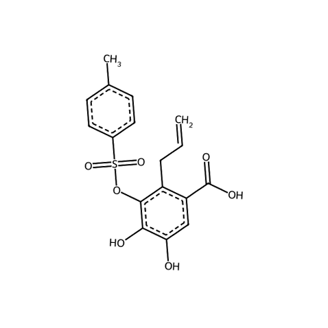 C=CCc1c(C(=O)O)cc(O)c(O)c1OS(=O)(=O)c1ccc(C)cc1